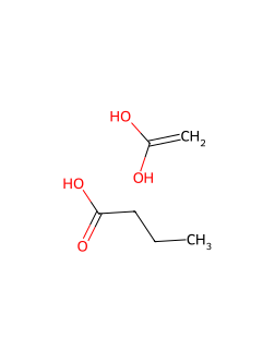 C=C(O)O.CCCC(=O)O